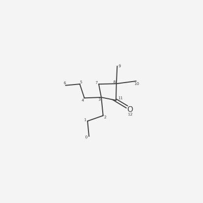 CCCC1(CCC)CC(C)(C)C1=O